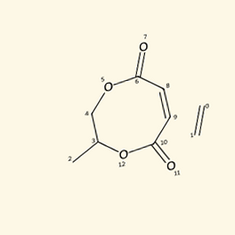 C=C.CC1COC(=O)C=CC(=O)O1